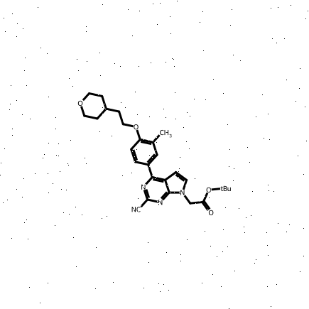 Cc1cc(-c2nc(C#N)nc3c2ccn3CC(=O)OC(C)(C)C)ccc1OCCC1CCOCC1